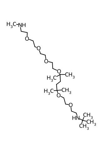 CNCCOCCOCCOCCOC(C)(C)CCC(C)(C)OCCOCCNC(C)(C)C